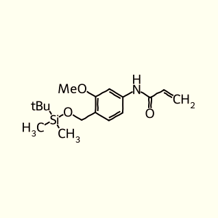 C=CC(=O)Nc1ccc(CO[Si](C)(C)C(C)(C)C)c(OC)c1